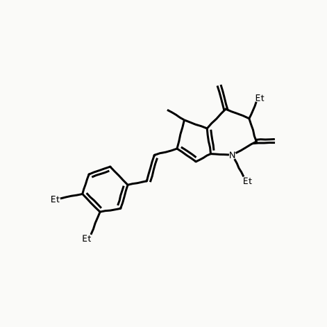 C=C1C2=C(C=C(/C=C/c3ccc(CC)c(CC)c3)C2C)N(CC)C(=C)C1CC